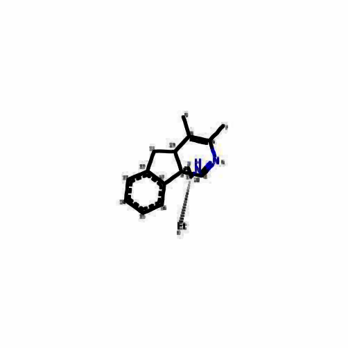 CC[C@@H]1C[C@@]23C(=NC(C)=C(C)C2Cc2ccccc23)N1